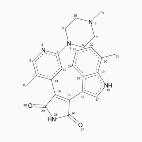 Cc1cnc(N2CCN(C)CC2)cc1C1=C(c2c[nH]c3c(C)cccc23)C(=O)NC1=O